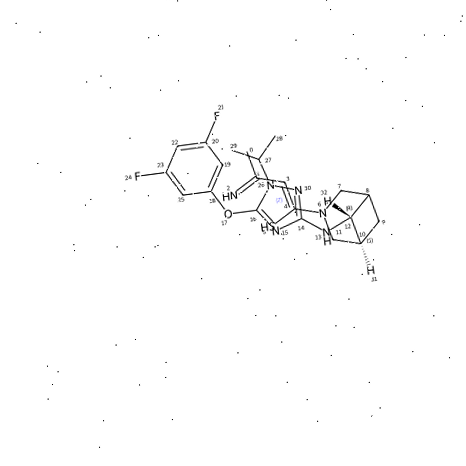 CC(=N)/C=C(\S)N1CC2C[C@@H](C1)[C@@H]2Nc1nc(Oc2cc(F)cc(F)c2)n(C(C)C)n1